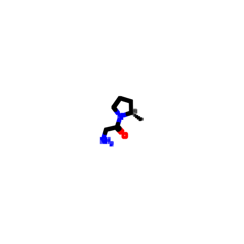 [CH2][C@H]1CCCN1C(=O)CN